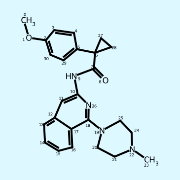 COc1ccc(C2(C(=O)Nc3cc4ccccc4c(N4CCN(C)CC4)n3)CC2)cc1